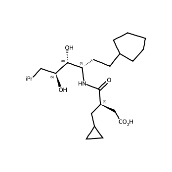 CC(C)C[C@H](O)[C@H](O)[C@H](CCC1CCCCC1)NC(=O)[C@@H](CC(=O)O)CC1CC1